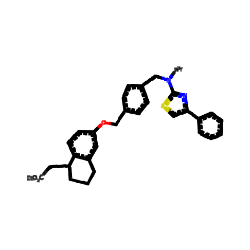 CCCN(Cc1ccc(COc2ccc3c(c2)CCCC3CC(=O)OCC)cc1)c1nc(-c2ccccc2)cs1